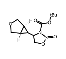 CC(C)(C)OC(=O)N1C(C2[C@H]3COC[C@@H]23)COS1=O